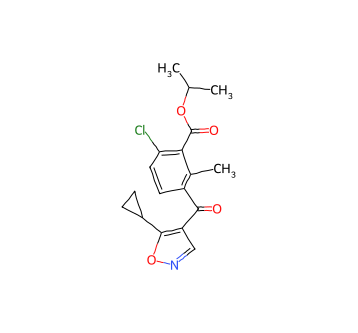 Cc1c(C(=O)c2cnoc2C2CC2)ccc(Cl)c1C(=O)OC(C)C